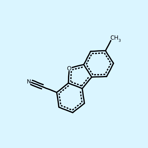 Cc1ccc2c(c1)oc1c(C#N)cccc12